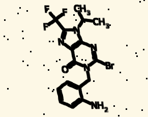 CC(C)n1c(C(F)(F)F)nc2c(=O)n(Cc3ccccc3N)c(Br)nc21